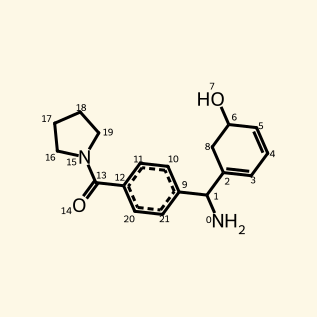 NC(C1=CC=CC(O)C1)c1ccc(C(=O)N2CCCC2)cc1